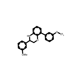 COc1cccc(C2COc3c(cccc3-c3cccc(OC(F)(F)F)c3)N2)c1